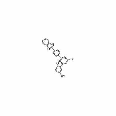 CC(C)c1ccc2oc3c(-c4ccc(-c5nc6ccccc6o5)cc4)cc(C(C)C)cc3c2c1